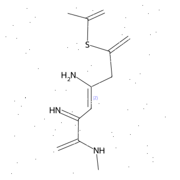 C=C(C)SC(=C)C/C(N)=C/C(=N)C(=C)NC